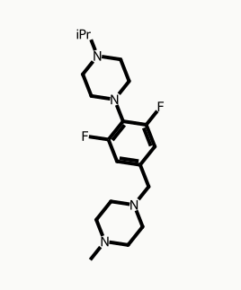 CC(C)N1CCN(c2c(F)cc(CN3CCN(C)CC3)cc2F)CC1